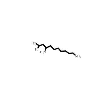 CCC(CC)CC(N)CCCCCCCN